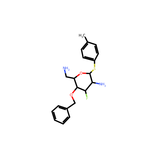 Cc1ccc(SC2OC(CN)C(OCc3ccccc3)C(F)C2N)cc1